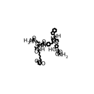 CC(C)[C@@H](NC(=O)CCCCCN1C(=O)C=CC1=O)C(=O)N[C@H](CCCNC(N)=O)C(=O)Nc1ccc(C[n+]2cnc(N[C@H]3CCc4ccccc43)c3ccn([C@@H]4C[C@@H](COS(N)(=O)=O)[C@@H](O)C4)c32)cc1